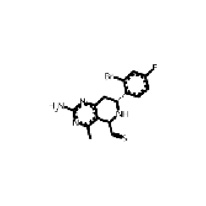 Cc1nc(N)nc2c1C(C=S)N[C@@H](c1ccc(F)cc1Br)C2